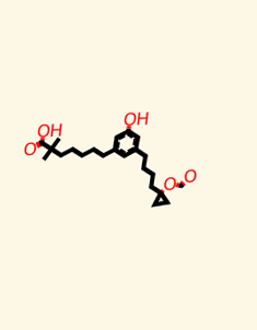 CC(C)(CCCCCc1cc(O)cc(CCCCC2(OC=O)CC2)c1)C(=O)O